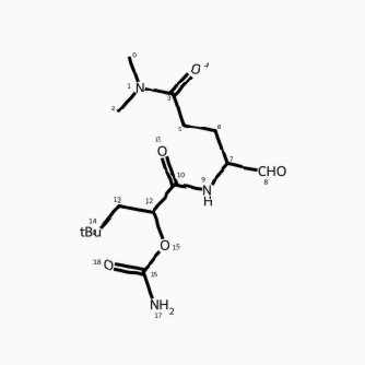 CN(C)C(=O)CCC(C=O)NC(=O)C(CC(C)(C)C)OC(N)=O